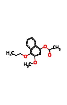 CCCOc1c(OC)cc(OC(C)=O)c2ccccc12